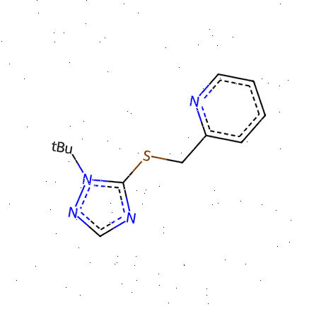 CC(C)(C)n1ncnc1SCc1ccccn1